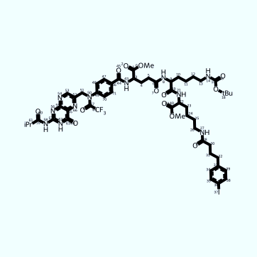 COC(=O)C(CCC(=O)NC(CCCCNC(=O)OC(C)(C)C)C(=O)NC(CCCCNC(=O)CCCc1ccc(I)cc1)C(=O)OC)NC(=O)c1ccc(N(Cc2cnc3nc(NC(=O)C(C)C)[nH]c(=O)c3n2)C(=O)C(F)(F)F)cc1